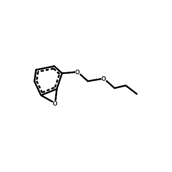 CCCOCOc1cccc2c1O2